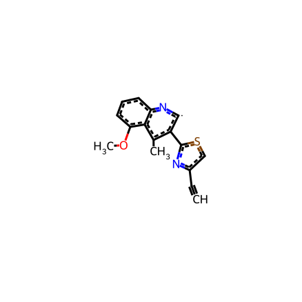 C#Cc1csc(-c2[c]nc3cccc(OC)c3c2C)n1